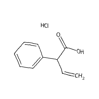 C=CC(C(=O)O)c1ccccc1.Cl